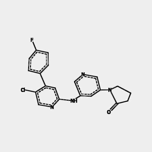 O=C1CCCN1c1cncc(Nc2cc(-c3ccc(F)cc3)c(Cl)cn2)c1